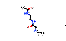 O=C(O)NCC(=O)NCCNC(=O)C(F)(F)F